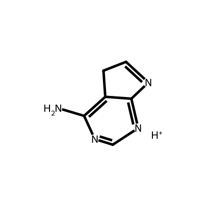 Nc1ncnc2c1CC=N2.[H+]